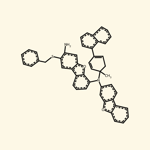 CC1(N(c2ccc3c(c2)oc2ccccc23)c2cccc3c2oc2cc(N)c(SCc4ccccc4)cc23)C=CC(c2cccc3ccccc23)=CC1